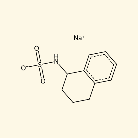 O=S(=O)([O-])NC1CCCc2ccccc21.[Na+]